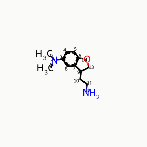 CN(C)c1ccc2c(c1)C(CCN)CO2